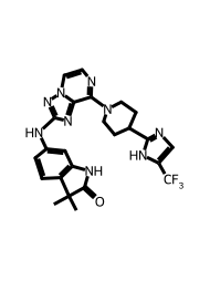 CC1(C)C(=O)Nc2cc(Nc3nc4c(N5CCC(c6ncc(C(F)(F)F)[nH]6)CC5)nccn4n3)ccc21